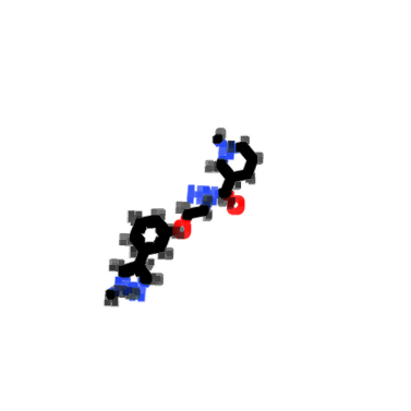 CN1CCCC(C(=O)NCCOc2c[c]cc(-c3cnn(C)c3)c2)C1